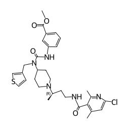 COC(=O)c1cccc(NC(=O)N(Cc2ccsc2)C2CCN([C@H](C)CCNC(=O)c3c(C)cc(Cl)nc3C)CC2)c1